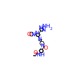 C=CC(=O)Nc1ccc(C(=O)N2CCC3(CC2)CN(c2cc(-c4cnc(N)nc4)nc(N4CCOCC4)c2)C3)cc1